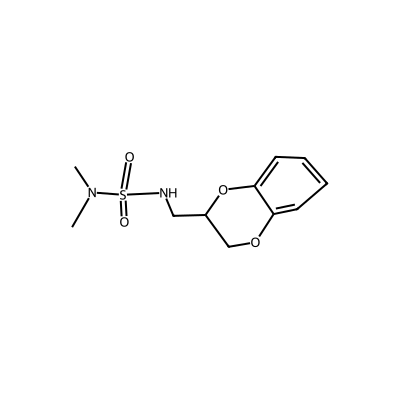 CN(C)S(=O)(=O)NCC1COc2ccccc2O1